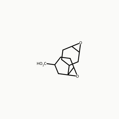 O=C(O)C1CCC2OC2(C2CCC3OC3C2)C1